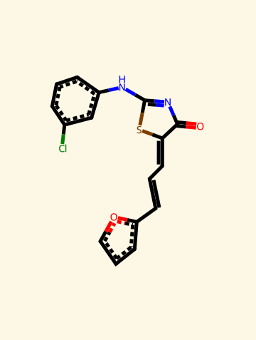 O=C1N=C(Nc2cccc(Cl)c2)S/C1=C\C=C\c1ccco1